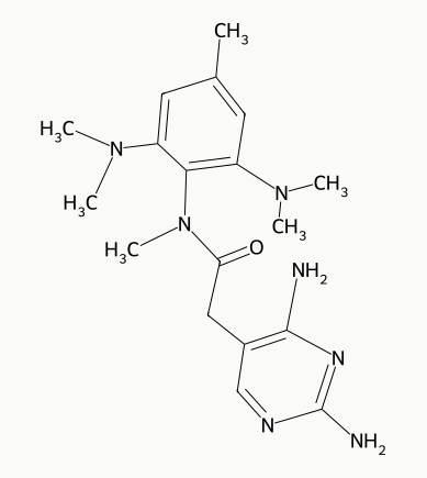 Cc1cc(N(C)C)c(N(C)C(=O)Cc2cnc(N)nc2N)c(N(C)C)c1